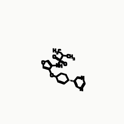 CC(C)S(=O)(=O)Nc1cocc1OC1C=C[C@@H](c2cncnc2)CC1